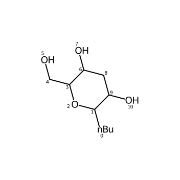 CCCCC1OC(CO)C(O)CC1O